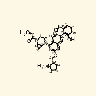 C=CC(=O)N1CCN(c2nc(OC[C@@H]3CCCN3C)nc3nc(-c4c(O)cccc4F)c(Cl)cc23)C2CC21